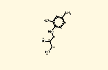 N#Cc1cc(N)ccc1NCC(O)CO